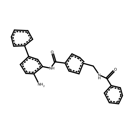 Nc1ccc(-c2ccccc2)cc1NC(=O)c1ccc(CNC(=O)c2ccccc2)cc1